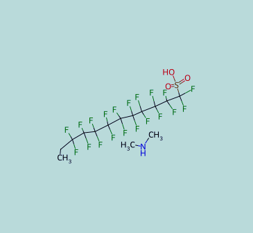 CCC(F)(F)C(F)(F)C(F)(F)C(F)(F)C(F)(F)C(F)(F)C(F)(F)C(F)(F)C(F)(F)C(F)(F)S(=O)(=O)O.CNC